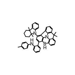 Cc1ccc(Nc2ccccc2-c2cc(N3c4ccccc4C4(C)CCCCC34C)c3c4cccc5c4n4c3c2Bc2cccc(c2-4)C5(C)C)cc1